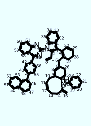 C=Cc1c(C2=C(CC3=CC4C/C=C\CCC(=C)N(c5ccccc5)[C@@H]4CC3)CCC=C2)c2ccccc2n1-c1nc(-c2ccc(-c3cccc4ccccc34)cc2)c2ccccc2n1